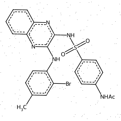 CC(=O)Nc1ccc(S(=O)(=O)Nc2nc3ccccc3nc2Nc2ccc(C)cc2Br)cc1